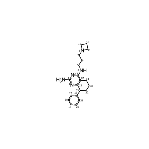 Nc1nc(NCCCN2CCC2)c2c(n1)C(c1ccccc1)CCC2